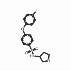 O=S(=O)(NC1CCOC1)c1ccc(Oc2ccc(F)cc2)cc1